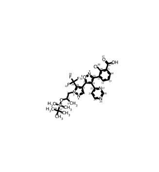 CC(Cn1ncc(-c2onc(-c3cccc(C(=O)O)c3Cl)c2-c2ccncn2)c1C(F)(F)F)O[Si](C)(C)C(C)(C)C